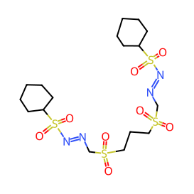 O=S(=O)(CCCS(=O)(=O)CN=NS(=O)(=O)C1CCCCC1)CN=NS(=O)(=O)C1CCCCC1